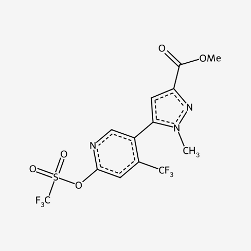 COC(=O)c1cc(-c2cnc(OS(=O)(=O)C(F)(F)F)cc2C(F)(F)F)n(C)n1